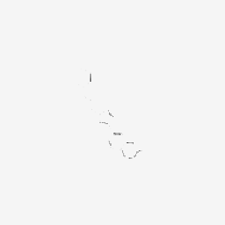 Cc1nn(CCCN2CCOCC2)cc1-c1cnc2ccc(Cl)nc2c1